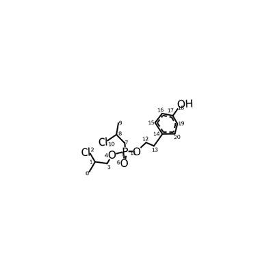 CC(Cl)COP(=O)(CC(C)Cl)OCCc1ccc(O)cc1